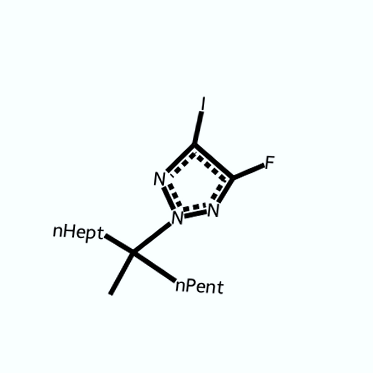 CCCCCCCC(C)(CCCCC)n1nc(F)c(I)n1